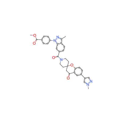 COC(=O)c1ccc(-n2nc(C)c3ccc(C(=O)N4CCC5(CC4)CC(=O)c4cc(-c6cnn(C)c6)ccc4O5)cc32)cc1